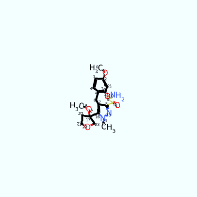 COc1ccc(Cc2c(S(N)(=O)=O)nn(C)c2C2(OC)CCOC2)cc1